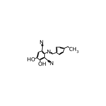 CCc1ccc(C=Nc2c(C#N)cc(O)c(O)c2C#N)cc1